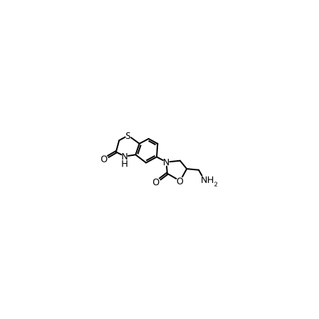 NCC1CN(c2ccc3c(c2)NC(=O)CS3)C(=O)O1